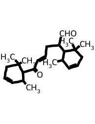 CC1C=CCC(C)(C)C1C(=O)C=CCC(C=O)C1C(C)C=CCC1(C)C